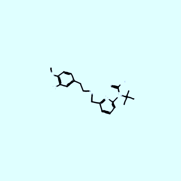 COc1ccc(CCOCc2cccc(N(C(=O)O)C(C)(C)C)n2)cc1N